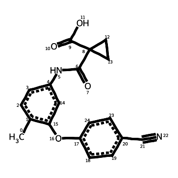 Cc1ccc(NC(=O)C2(C(=O)O)CC2)cc1Oc1ccc(C#N)cc1